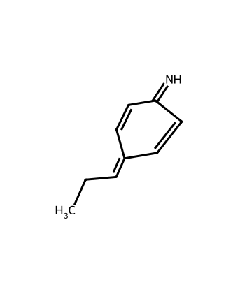 CCC=C1C=CC(=N)C=C1